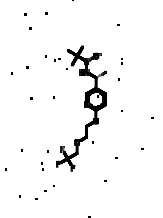 C[C@@H](N[S+]([O-])C(C)(C)C)c1ccc(OCCOCC(F)(F)F)nc1